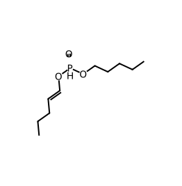 CCCC=CO[PH](=O)OCCCCC